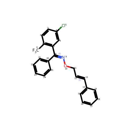 FC(F)(F)c1ccc(Cl)cc1/C(=N/OC/C=C/c1ccccc1)c1ccccc1